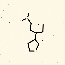 CCN(CCN(C)C)C1CCOC1